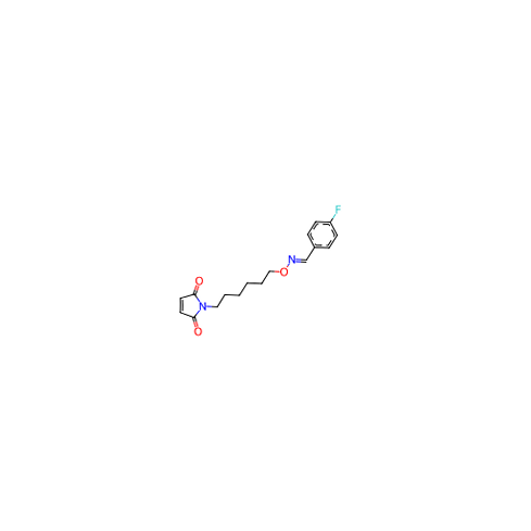 O=C1C=CC(=O)N1CCCCCCO/N=C/c1ccc(F)cc1